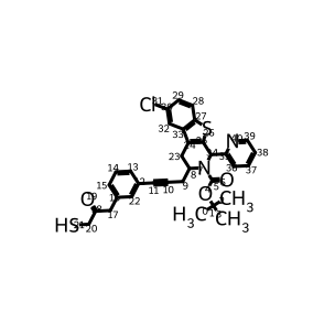 CC(C)(C)OC(=O)N1C(CC#Cc2cccc(CC(=O)CS)c2)Cc2c(sc3ccc(Cl)cc23)C1c1ccccn1